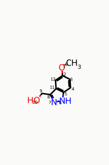 COc1ccc2[nH]nc(CO)c2c1